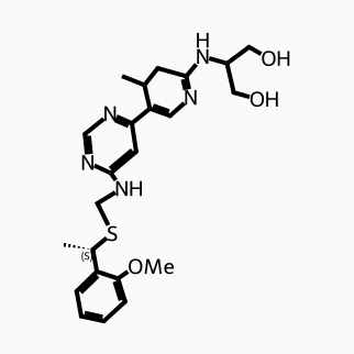 COc1ccccc1[C@H](C)SCNc1cc(C2=CN=C(NC(CO)CO)CC2C)ncn1